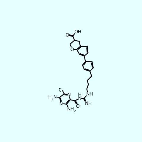 N=C(NCCCCc1ccc(-c2ccc3c(c2)OCC(C(=O)O)C3)cc1)NC(=O)c1nc(Cl)c(N)nc1N